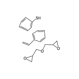 C(OCC1CO1)C1CO1.C=Cc1ccccc1.Sc1ccccc1